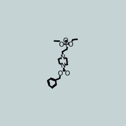 CCOP(=O)(CCN1CCN(C(=O)OCc2ccccc2)CC1)OCC